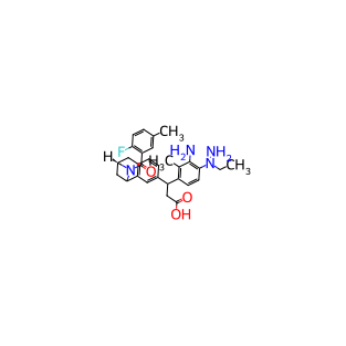 CCN(N)c1ccc(C(CC(=O)O)c2ccc3c(c2)C2C[C@H](C3)N2C(=O)c2cc(C)ccc2F)c(C)c1N